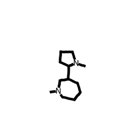 CN1CCCCC(C2CCCN2C)C1